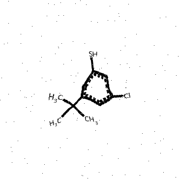 CC(C)(C)c1cc(S)cc(Cl)c1